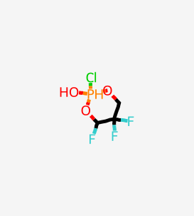 O[PH]1(Cl)OCC(F)(F)C(F)O1